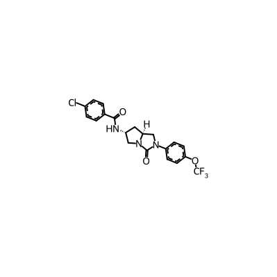 O=C(N[C@@H]1C[C@H]2CN(c3ccc(OC(F)(F)F)cc3)C(=O)N2C1)c1ccc(Cl)cc1